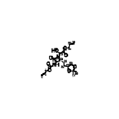 C=CCOC(=O)N[C@@H]1C(=O)N(C(O)C(=O)OCC=C)[C@@H]1CCC1COC(C)(C)O1